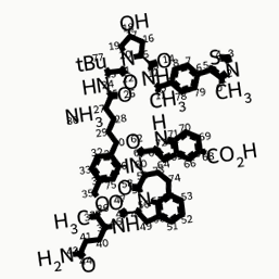 Cc1ncsc1-c1ccc(C(C)NC(=O)[C@@H]2C[C@@H](O)CN2C(=O)C(NC(=O)CCCCc2ccc(COC(C)C(CCC(N)=O)NC(=O)[C@@H]3Cc4cccc5c4N3C(=O)[C@@H](NC(=O)c3cc4cc(C(=O)O)ccc4[nH]3)CC5)cc2)C(C)(C)C)cc1.N